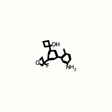 Cc1ccc(N)cc1-c1cc(C2(O)CCC2)cc(C2(F)COC2)c1